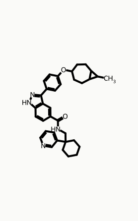 CC1C2CCC(Oc3ccc(-c4n[nH]c5ccc(C(=O)NCC6(c7cccnc7)CCCCC6)cc45)cc3)CCC12